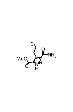 COC(=O)c1[nH]nc(C(N)=O)c1CCCl